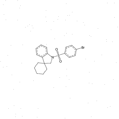 O=S(=O)(c1ccc(Br)cc1)N1CC2(CCCCC2)c2ccccc21